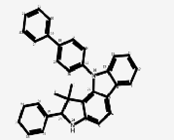 CC1(C)c2c(ccc3c4ccccc4n(-c4ccc(-c5ccccc5)cc4)c23)NC1C1=CCCC=C1